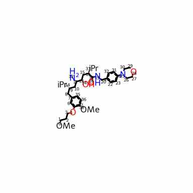 COCCCOc1cc(C[C@@H](C[C@H](N)[C@@H](O)C[C@H](C(=O)NCc2ccc(N3CCOCC3)cc2)C(C)C)C(C)C)ccc1OC